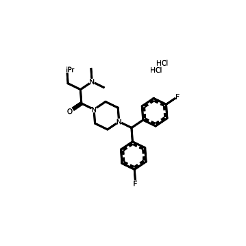 CC(C)CC(C(=O)N1CCN(C(c2ccc(F)cc2)c2ccc(F)cc2)CC1)N(C)C.Cl.Cl